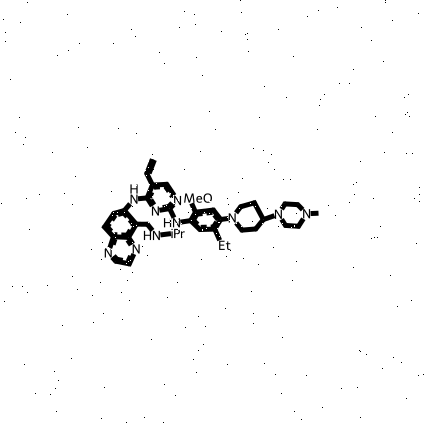 C=Cc1cnc(Nc2cc(CC)c(N3CCC(N4CCN(C)CC4)CC3)cc2OC)nc1Nc1ccc2nccnc2c1CNC(C)C